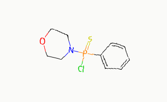 S=P(Cl)(c1ccccc1)N1CCOCC1